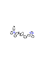 c1cc(-c2ccc(-c3ccc(-n4c5ccccc5c5ccccc54)c4ccccc34)cc2)cc(-c2ccc3c(c2)c2ccccc2c2nccnc32)c1